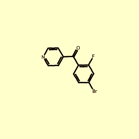 O=C(c1ccncc1)c1ccc(Br)cc1F